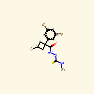 CNC(=S)NNC(=O)C1(c2cc(Br)cc(Br)c2)CC(C)C1